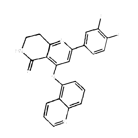 Fc1ccc(-c2cc(Nc3cccc4ncccc34)c3c(n2)CCNC3=S)cc1F